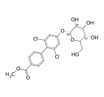 COC(=O)c1ccc(-c2c(Cl)cc(O[C@H]3OC(CO)[C@@H](O)C(O)[C@H]3O)cc2Cl)cc1